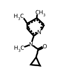 Cc1cnc(N(C)C(=O)C2CC2)cc1C